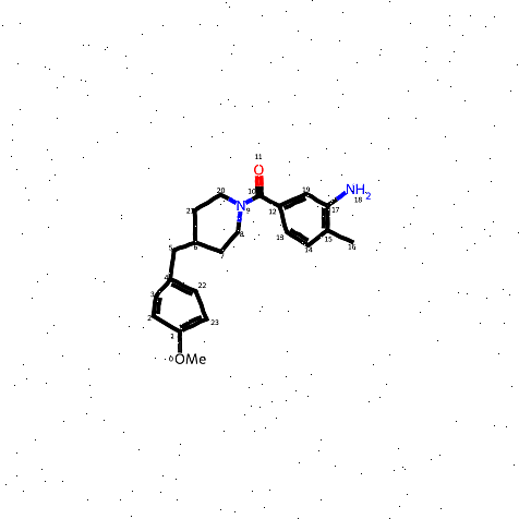 COc1ccc(CC2CCN(C(=O)c3ccc(C)c(N)c3)CC2)cc1